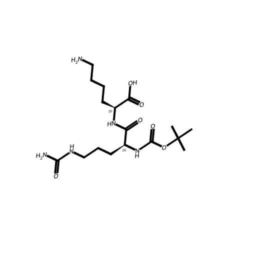 CC(C)(C)OC(=O)N[C@@H](CCCNC(N)=O)C(=O)N[C@@H](CCCCN)C(=O)O